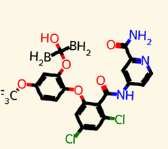 BC(B)(O)Oc1cc(OC(F)(F)F)ccc1Oc1cc(Cl)cc(Cl)c1C(=O)Nc1ccnc(C(N)=O)c1